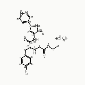 CCOC(=O)CN[C@@H](Cc1ccc(F)cc1)C(=O)Nc1cc(-c2ccncc2)nn1C.Cl.Cl